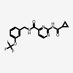 O=C(NCc1cccc(OC(F)(F)I)c1)c1ccnc(NC(=O)C2CC2)n1